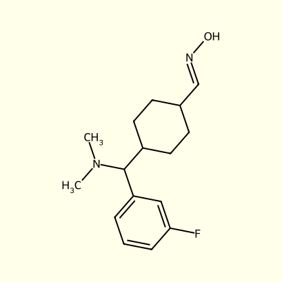 CN(C)C(c1cccc(F)c1)C1CCC(/C=N/O)CC1